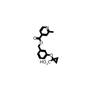 Cc1cc(C(=O)OCc2cccc(OC3(C(=O)O)CC3)c2)ccn1